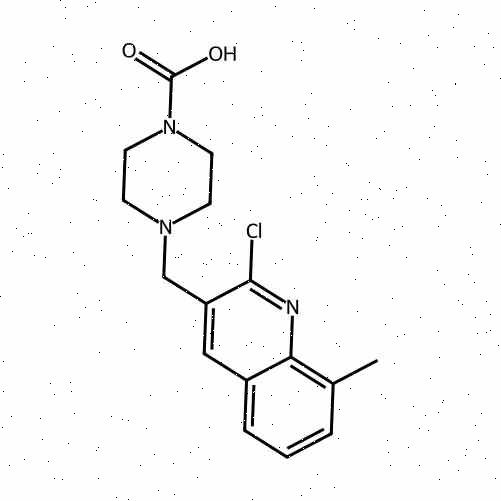 Cc1cccc2cc(CN3CCN(C(=O)O)CC3)c(Cl)nc12